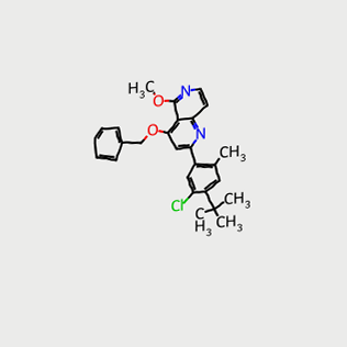 COc1nccc2nc(-c3cc(Cl)c(C(C)(C)C)cc3C)cc(OCc3ccccc3)c12